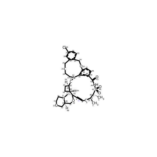 C[C@@H]1[C@@H](C)C/C=C/[C@]2(CN3CCOC[C@@H]3CO2)[C@@H]2CC[C@H]2CN2CCCCc3cc(Cl)ccc3COc3ccc(cc32)C(=O)NS1(=O)=O